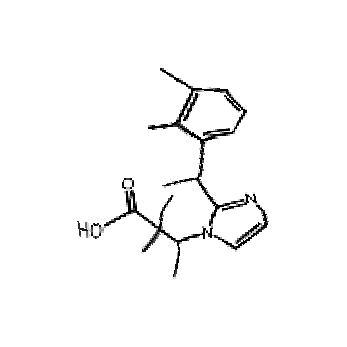 Cc1cccc(C(C)c2nccn2C(C)C(C)(C)C(=O)O)c1C